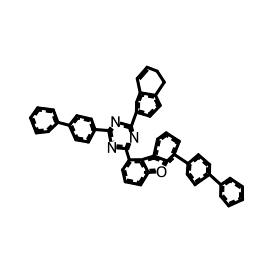 C1=Cc2cc(-c3nc(-c4ccc(-c5ccccc5)cc4)nc(-c4cccc5oc6c(-c7ccc(-c8ccccc8)cc7)cccc6c45)n3)ccc2CC1